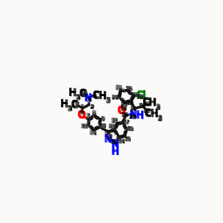 CC(CN(C)C)Oc1ccc(-c2n[nH]c3ccc(C(=O)NC(c4ccccc4Cl)C(C)C)cc23)cc1